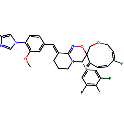 C=C1/C=C\C(F)=C/COCC12ON=C1/C(=C/c3ccc(-n4cnc(C)c4)c(OC)c3)CCCN1[C@H]2c1cc(F)c(F)c(F)c1